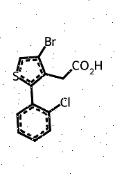 O=C(O)Cc1c(Br)csc1-c1ccccc1Cl